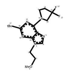 COCCn1cnc2c(N3CCC(F)(F)C3)nc(C(C)(C)C)nc21